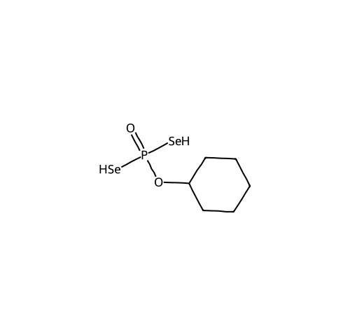 O=P([SeH])([SeH])OC1CCCCC1